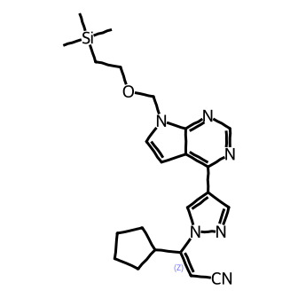 C[Si](C)(C)CCOCn1ccc2c(-c3cnn(/C(=C\C#N)C4CCCC4)c3)ncnc21